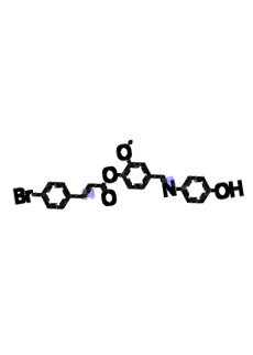 COc1cc(/C=N/c2ccc(O)cc2)ccc1OC(=O)/C=C/c1ccc(Br)cc1